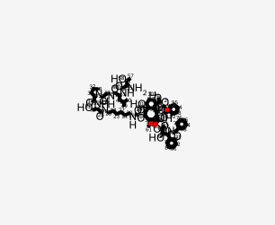 CC(=O)O[C@@]12CO[C@@H]1C[C@H](O)[C@@]1(C)C(=O)[C@H](OC(=O)NCCCCCCNC(=O)C(CO)NC(=O)C3CCCN3C(=O)CNC(=O)C(CC(C)C)NC(=O)C(N)C(C)O)C3=C(C)[C@@H](OC(=O)[C@H](O)[C@@H](NC(=O)c4ccccc4)c4ccccc4)C[C@@](O)([C@@H](OC(=O)c4ccccc4)[C@H]21)C3(C)C